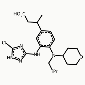 CC(C)CN(c1ccc(C(C)CC(=O)O)cc1Nc1n[nH]c(Cl)n1)C1CCOCC1